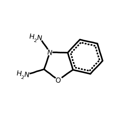 NC1Oc2ccccc2N1N